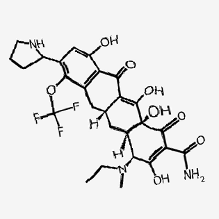 CCN(C)[C@@H]1C(O)=C(C(N)=O)C(=O)[C@@]2(O)C(O)=C3C(=O)c4c(O)cc(C5CCCN5)c(OC(F)(F)F)c4C[C@H]3C[C@@H]12